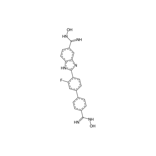 N=C(NO)c1ccc(-c2ccc(-c3nc4cc(C(=N)NO)ccc4[nH]3)c(F)c2)cc1